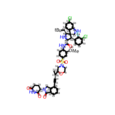 COc1cc(S(=O)(=O)N2CCO[C@]3(C[C@@H]3C#Cc3cccc4c3CN([C@H]3CCC(=O)NC3=O)C4=O)C2)ccc1NC(=O)[C@@H]1N[C@@H](CC(C)(C)C)[C@@]2(CNc3cc(Cl)ccc32)[C@H]1c1cccc(Cl)c1F